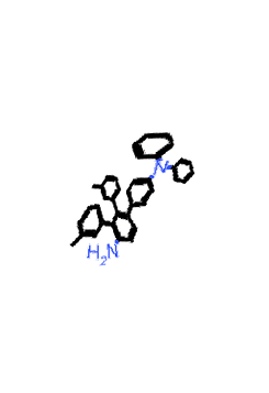 Cc1cccc(-c2c(N)ccc(-c3ccc(N(c4ccccc4)c4ccccc4)cc3)c2-c2cccc(C)c2)c1